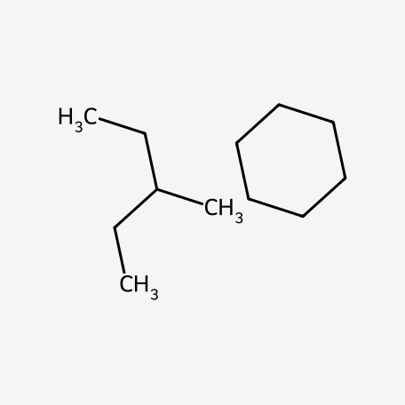 C1CCCCC1.CCC(C)CC